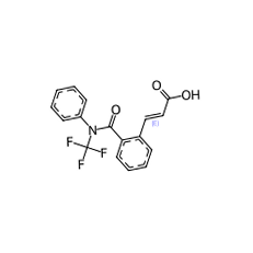 O=C(O)/C=C/c1ccccc1C(=O)N(c1ccccc1)C(F)(F)F